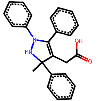 CC1(c2ccccc2)NN(c2ccccc2)C(c2ccccc2)=C1CC(=O)O